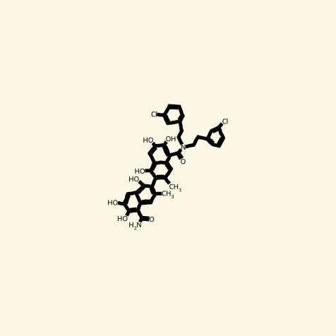 Cc1cc2c(C(N)=O)c(O)c(O)cc2c(O)c1-c1c(C)cc2c(C(=O)N(CCc3cccc(Cl)c3)CCc3cccc(Cl)c3)c(O)c(O)cc2c1O